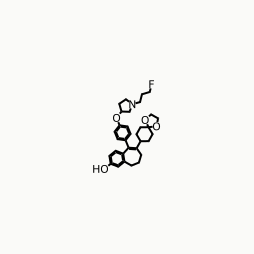 Oc1ccc2c(c1)CCCC(C1CCC3(CC1)OCCO3)=C2c1ccc(OC2CCN(CCCF)C2)cc1